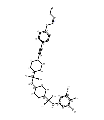 CC/C=C\Cc1ccc(C#CC2CCC(C(F)(F)OC3CCC(C(F)(F)Oc4cc(F)c(F)c(F)c4)CC3)CC2)cc1